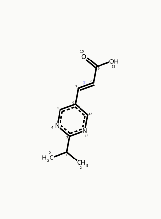 CC(C)c1ncc(/C=C/C(=O)O)cn1